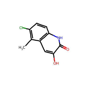 Cc1c(Cl)ccc2[nH]c(=O)c(O)cc12